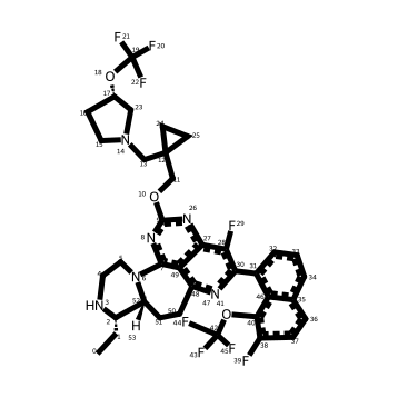 CC[C@@H]1NCCN2c3nc(OCC4(CN5CC[C@H](OC(F)(F)F)C5)CC4)nc4c(F)c(-c5cccc6ccc(F)c(OC(F)(F)F)c56)nc(c34)CC[C@H]12